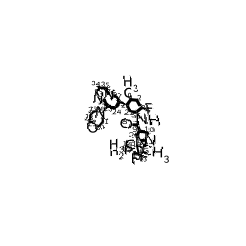 Cc1cc(F)c(NC(=O)c2cnn(C(C)(C)C(F)(F)P)c2)cc1-c1cc(N2CCOCC2)c2nccn2c1